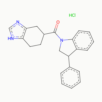 Cl.O=C(C1CCc2[nH]cnc2C1)N1CC(c2ccccc2)c2ccccc21